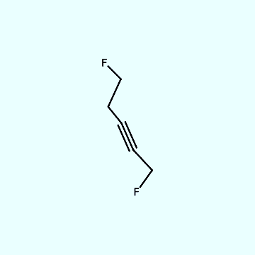 FCC#CCCF